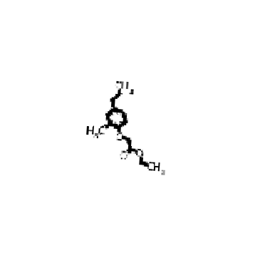 CCCc1ccc(OCC(=O)OCC)c(C)c1